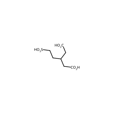 O=C(O)CC(CCS(=O)(=O)O)CC(=O)O